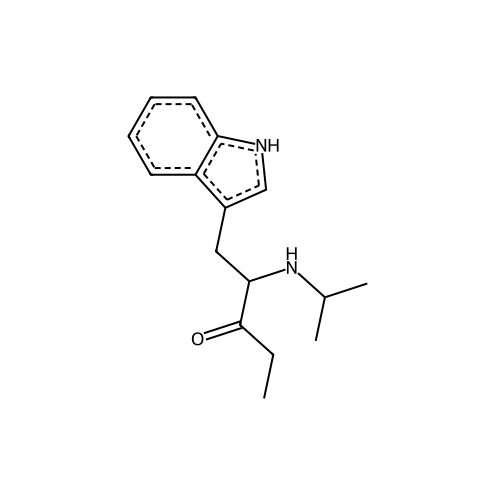 CCC(=O)C(Cc1c[nH]c2ccccc12)NC(C)C